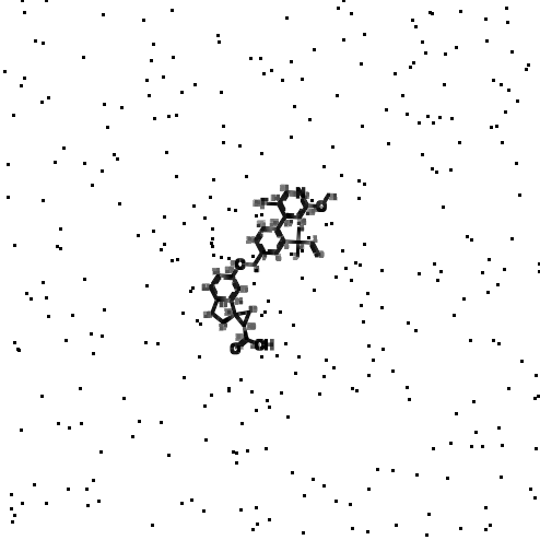 C=CC(C)(C)c1cc(COc2ccc3c(c2)[C@]2(CC3)C[C@H]2C(=O)O)ccc1-c1cc(OC)ncc1F